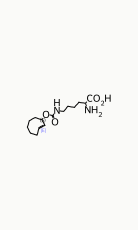 NC(CCCCNC(=O)O[C@@H]1/C=C/CCCCC1)C(=O)O